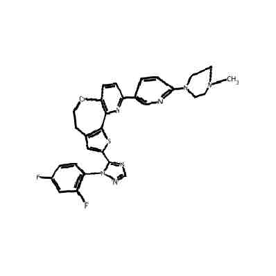 CN1CCN(c2ccc(-c3ccc4c(n3)-c3sc(-c5ncnn5-c5ccc(F)cc5F)cc3CCO4)cn2)CC1